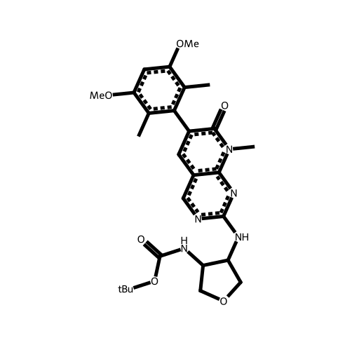 COc1cc(OC)c(C)c(-c2cc3cnc(NC4COCC4NC(=O)OC(C)(C)C)nc3n(C)c2=O)c1C